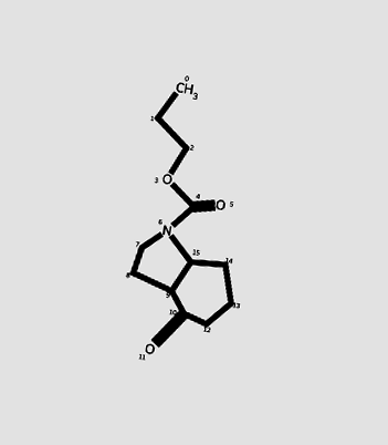 CCCOC(=O)N1CCC2C(=O)CCCC21